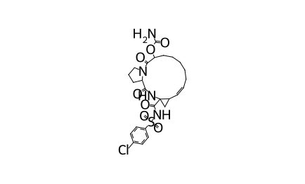 NC(=O)OC1CCCCCC=CC2CC2(C(=O)NS(=O)(=O)c2ccc(Cl)cc2)NC(=O)C2CCCN2C1=O